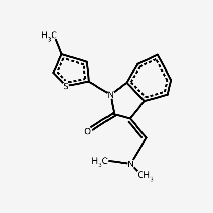 Cc1csc(N2C(=O)C(=CN(C)C)c3ccccc32)c1